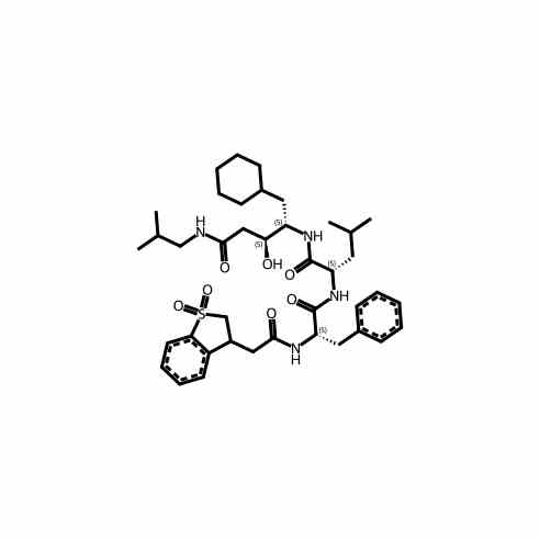 CC(C)CNC(=O)C[C@H](O)[C@H](CC1CCCCC1)NC(=O)[C@H](CC(C)C)NC(=O)[C@H](Cc1ccccc1)NC(=O)CC1CS(=O)(=O)c2ccccc21